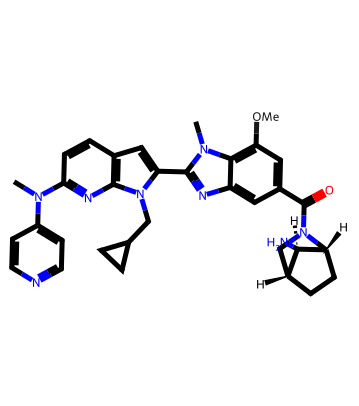 COc1cc(C(=O)N2C[C@H]3CC[C@@H]2[C@@H]3N)cc2nc(-c3cc4ccc(N(C)c5ccncc5)nc4n3CC3CC3)n(C)c12